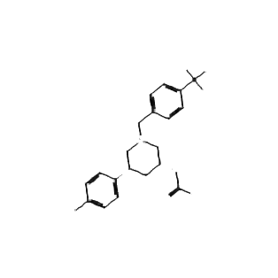 O=C(O)C[C@@H]1C[C@@H](c2ccc(Cl)cc2)CN(Cc2ccc(C(F)(F)F)cc2)C1